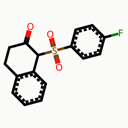 O=C1CCc2ccccc2C1S(=O)(=O)c1ccc(F)cc1